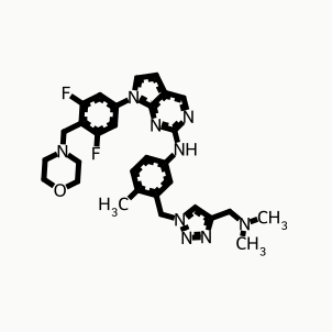 Cc1ccc(Nc2ncc3ccn(-c4cc(F)c(CN5CCOCC5)c(F)c4)c3n2)cc1Cn1cc(CN(C)C)nn1